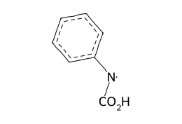 O=C(O)[N]c1ccccc1